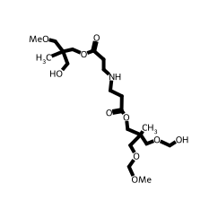 COCOCC(C)(COCO)COC(=O)CCNCCC(=O)OCC(C)(CO)COC